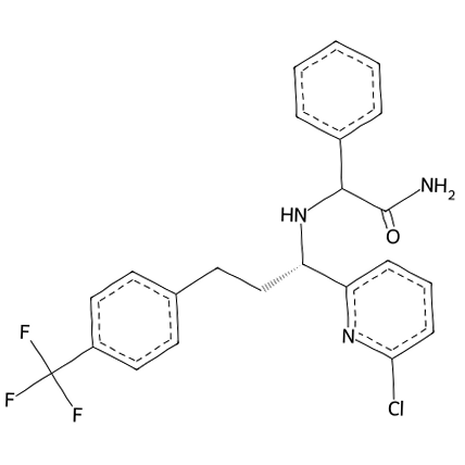 NC(=O)C(N[C@@H](CCc1ccc(C(F)(F)F)cc1)c1cccc(Cl)n1)c1ccccc1